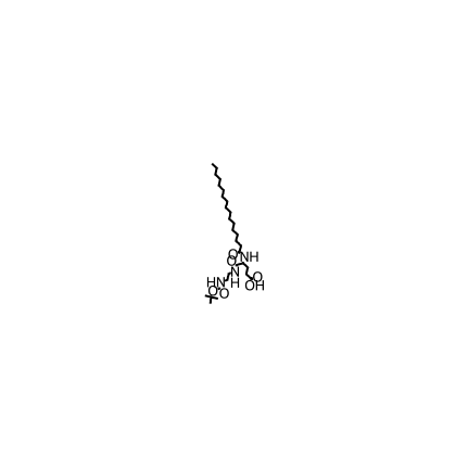 CCCCCCCCCCCCCCCCC(=O)NC(CCC(=O)O)C(=O)NCCNC(=O)OC(C)(C)C